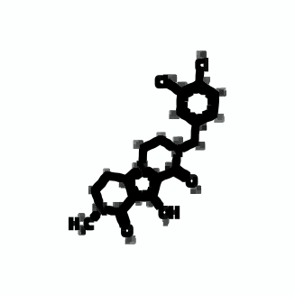 CN1CCc2c(c(O)c3n2CCN(Cc2ccc(Cl)c(Cl)c2)C3=O)C1=O